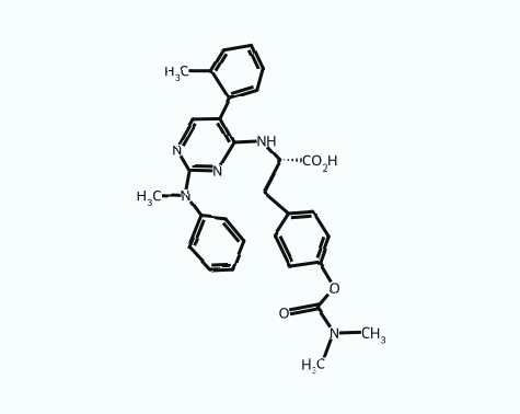 Cc1ccccc1-c1cnc(N(C)c2ccccc2)nc1N[C@@H](Cc1ccc(OC(=O)N(C)C)cc1)C(=O)O